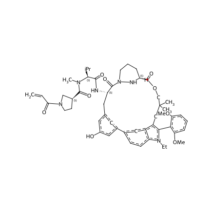 C=CC(=O)N1CC[C@H](C(=O)N(C)[C@H](C(=O)N[C@H]2Cc3cc(O)cc(c3)-c3ccc4c(c3)c(c(-c3c(OC)cccc3OC)n4CC)CC(C)(C)COC(=O)[C@@H]3CCCN(N3)C2=O)C(C)C)C1